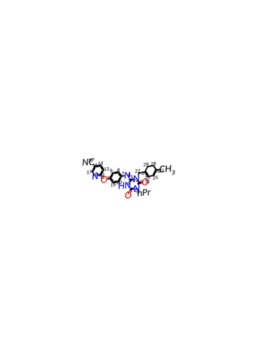 CCCn1c(=O)[nH]/c(=N\c2ccc(Oc3ccc(C#N)cn3)cc2)n(CC2=CC=C(C)CC2)c1=O